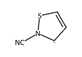 N#CN1[C]C=CS1